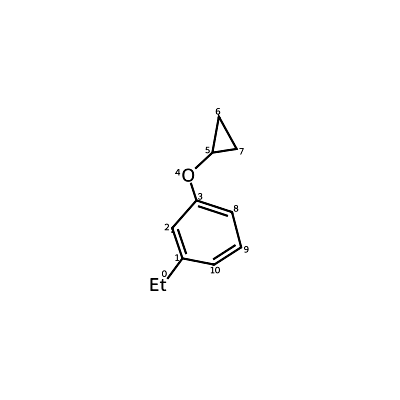 CCc1[c]c(OC2CC2)ccc1